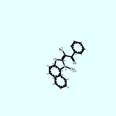 CC(=O)/C(C(=O)c1ccccc1)=C1\Sc2ccc3ccccc3c2N1C